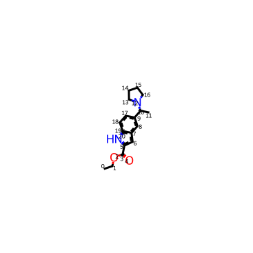 CCOC(=O)c1cc2cc(C(C)N3CCCC3)ccc2[nH]1